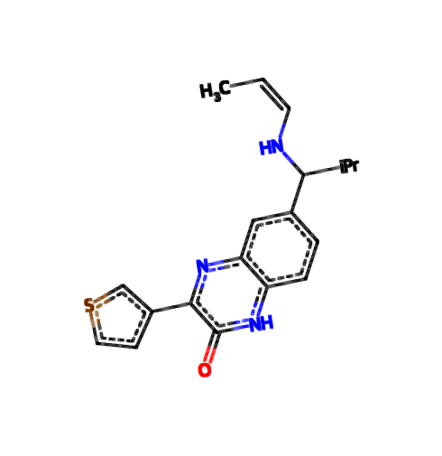 C/C=C\NC(c1ccc2[nH]c(=O)c(-c3ccsc3)nc2c1)C(C)C